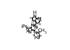 CC(C)n1cnc2c(N3CCOC[C@H]3C)nc(-c3ccnc4[nH]ccc34)nc21